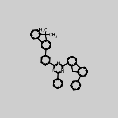 CC1(C)c2ccccc2-c2cc(-c3cccc(-c4nc(-c5ccccc5)nc(-c5cccc6c5Cc5c(-c7ccccc7)cccc5-6)n4)c3)ccc21